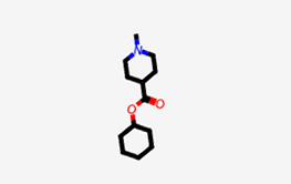 CN1CCC(C(=O)OC2CCCCC2)CC1